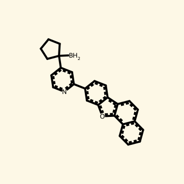 BC1(c2ccnc(-c3ccc4c(c3)oc3c5ccccc5ccc43)c2)CCCC1